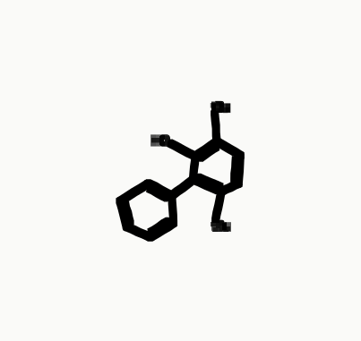 CC(C)(C)c1ccc(C(C)(C)C)c(-c2ccccc2)c1O